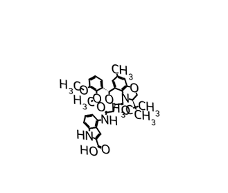 COc1cccc([C@H]2O[C@H](CC(=O)Nc3cccc4[nH]c(C(=O)O)cc34)C(=O)N3c4c(cc(C)cc42)OC[C@H]3C(C)(C)C)c1OC